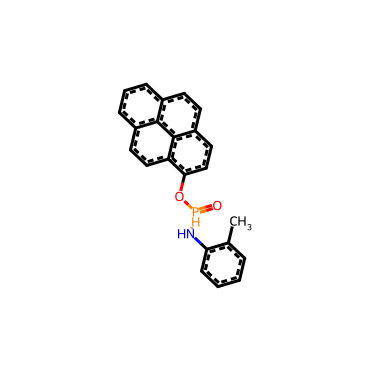 Cc1ccccc1N[PH](=O)Oc1ccc2ccc3cccc4ccc1c2c34